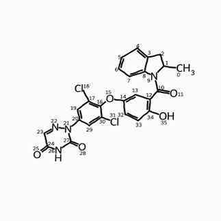 CC1Cc2ccccc2N1C(=O)c1cc(Oc2c(Cl)cc(-n3ncc(=O)[nH]c3=O)cc2Cl)ccc1O